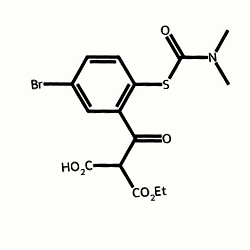 CCOC(=O)C(C(=O)O)C(=O)c1cc(Br)ccc1SC(=O)N(C)C